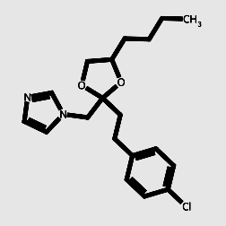 CCCCC1COC(CCc2ccc(Cl)cc2)(Cn2ccnc2)O1